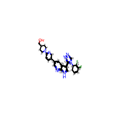 OCC1CCN(c2ccc(-c3cnc4[nH]cc(-c5nncn5C5CC=CC(F)=C5F)c4c3)cn2)CC1